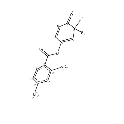 O=C(OC1=CC(F)(F)C(=O)C=C1)c1ccc(C(F)(F)F)cc1[N+](=O)[O-]